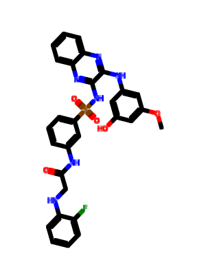 COc1cc(O)cc(Nc2nc3ccccc3nc2NS(=O)(=O)c2cccc(NC(=O)CNc3ccccc3F)c2)c1